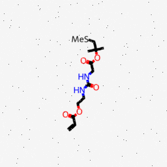 C=CC(=O)OCCNC(=O)NCC(=O)OC(C)(C)CSC